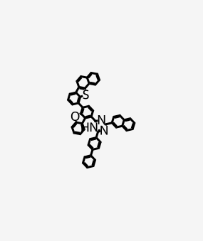 c1ccc(-c2ccc(C3=NC(c4ccc5ccccc5c4)=NC(c4ccc(-c5cccc6c5sc5c7ccccc7ccc65)c5oc6ccccc6c45)N3)cc2)cc1